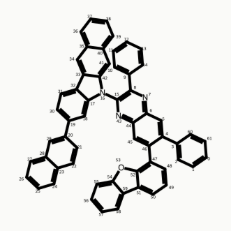 c1ccc(-c2cc3nc(-c4ccccc4)c(-n4c5cc(-c6ccc7ccccc7c6)ccc5c5cc6ccccc6cc54)nc3cc2-c2cccc3c2oc2ccccc23)cc1